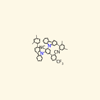 Cc1ccc(-c2ccc3c4ccccc4n(-c4cc(-c5ccc(C(F)(F)F)cc5C#N)cc(-n5c6ccccc6c6ccc(-c7ccc(C)cc7C)cc65)c4C#N)c3c2)c(C)c1